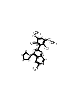 COc1cc(OC)c(Cl)c(-c2nc(N3CCCC3)c3cc(N)ncc3n2)c1Cl